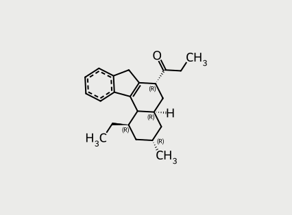 CCC(=O)[C@@H]1C[C@H]2C[C@H](C)C[C@@H](CC)C2C2=C1Cc1ccccc12